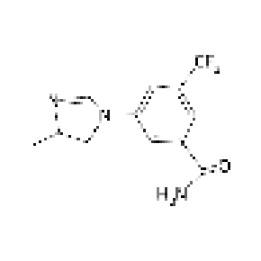 CC1CN(c2cc(C(N)=O)cc(C(F)(F)F)c2)C=N1